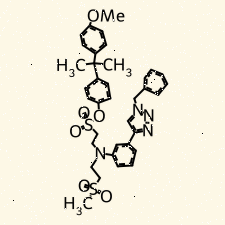 COc1ccc(C(C)(C)c2ccc(OS(=O)(=O)CCN(CCS(C)(=O)=O)c3cccc(-c4cn(Cc5ccccc5)nn4)c3)cc2)cc1